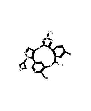 CC1Oc2cc(cnc2N)-c2c(cnn2C2COC2)Cc2nn(C)nc2-c2ccc(F)cc21